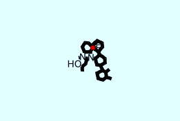 CC(O)CC1N(C)C2CCCC(F)C2N1C1CC(C2CCCC(C)C2C)CCC1C1CC=CCC1